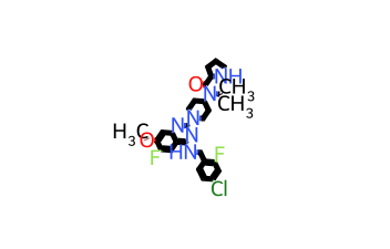 COc1cc2nc(N3CCC(N(C(=O)C4CCCN4)C(C)C)CC3)nc(NCc3ccc(Cl)cc3F)c2cc1F